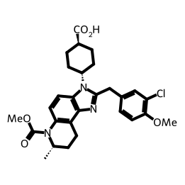 COC(=O)N1c2ccc3c(nc(Cc4ccc(OC)c(Cl)c4)n3[C@H]3CC[C@H](C(=O)O)CC3)c2CC[C@@H]1C